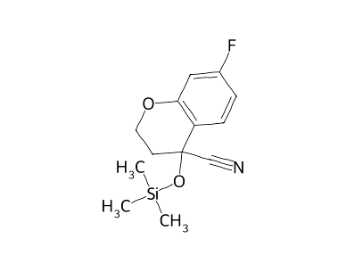 C[Si](C)(C)OC1(C#N)CCOc2cc(F)ccc21